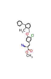 COC(=O)/C(C#N)=C/c1ccc(OCc2cccc(-c3ccccc3)c2C)c(Cl)c1